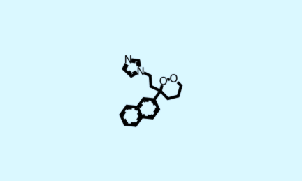 c1ccc2cc(C3(CCn4ccnc4)CCCOO3)ccc2c1